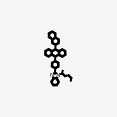 C/C=C\C=C(/C)n1c(-c2ccc(-c3c4ccccc4c(-c4ccc5ccccc5c4)c4ccccc34)cc2)nc2ccccc21